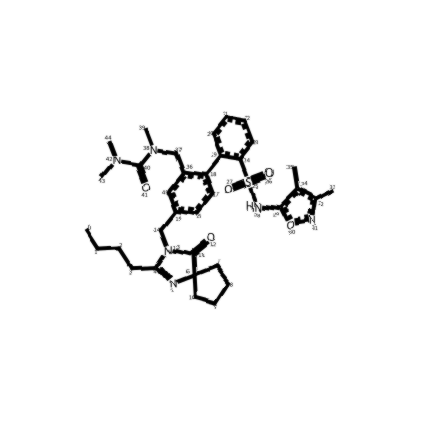 CCCCC1=NC2(CCCC2)C(=O)N1Cc1ccc(-c2ccccc2S(=O)(=O)Nc2onc(C)c2C)c(CN(C)C(=O)N(C)C)c1